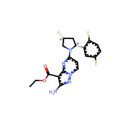 CCOC(=O)c1c(N)nn2ccc(N3C[C@H](F)C[C@@H]3c3cc(F)ccc3F)nc12